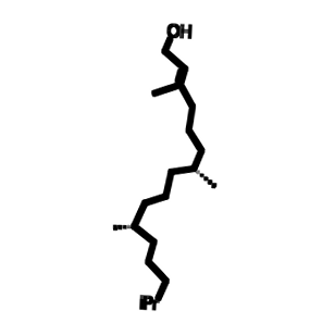 C/C(=C\CO)CCC[C@H](C)CCC[C@@H](C)CCCC(C)C